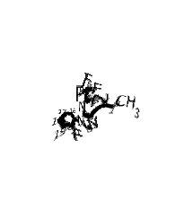 CCc1nc(C(F)(F)F)nc2c1ncn2-c1ccccc1F